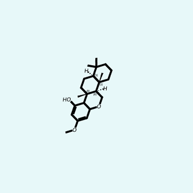 COC1=CC2OC[C@@H]3[C@@]4(C)CCCC(C)(C)[C@@H]4CC[C@@]3(C)C2C(O)=C1